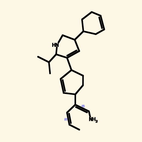 C/C=C\C(=C/N)C1C=CC(C2=CC(C3CC=CCC3)CNC2C(C)C)CC1